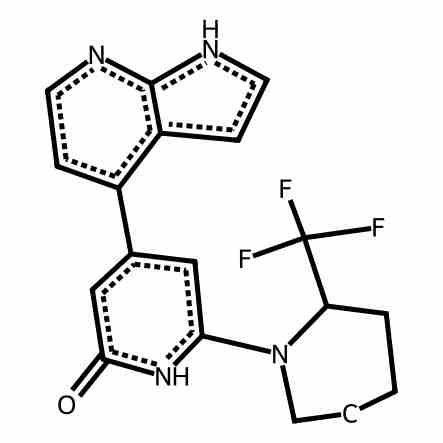 O=c1cc(-c2ccnc3[nH]ccc23)cc(N2CCCCC2C(F)(F)F)[nH]1